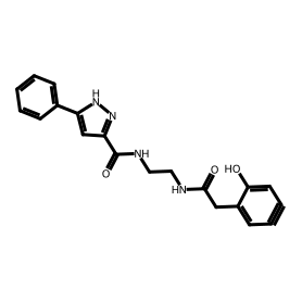 O=C(Cc1cc#ccc1O)NCCNC(=O)c1cc(-c2ccccc2)[nH]n1